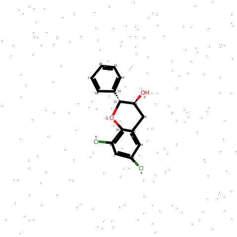 O[C@H]1Cc2cc(Cl)cc(Cl)c2O[C@@H]1c1ccccc1